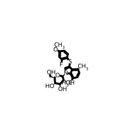 COc1ccc(Sc2cn([C@@H]3O[C@H](CO)[C@@H](O)[C@H](O)[C@H]3O)c3c(C)ccc(C)c23)c(F)c1